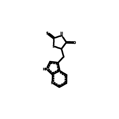 O=C1NC(=S)SC1Cc1c[nH]c2ncccc12